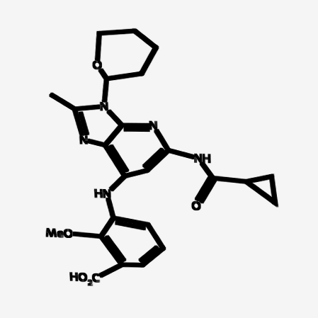 COc1c(Nc2cc(NC(=O)C3CC3)nc3c2nc(C)n3C2CCCCO2)cccc1C(=O)O